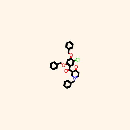 O=C1CCN(Cc2ccccc2)CC1C(=O)c1cc(Cl)c(OCc2ccccc2)cc1OCc1ccccc1